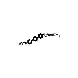 C=CCCCOCc1ccc([C@H]2CC[C@H]([C@H]3CC[C@H](C=CCCC)CC3)CC2)cc1